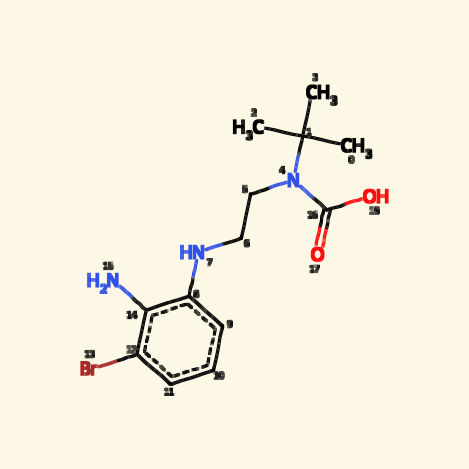 CC(C)(C)N(CCNc1cccc(Br)c1N)C(=O)O